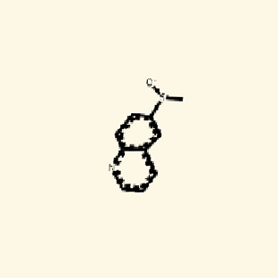 C[S+]([O-])c1ccc2n[c]ccc2c1